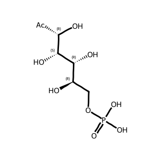 CC(=O)[C@H](O)[C@@H](O)[C@H](O)[C@H](O)COP(=O)(O)O